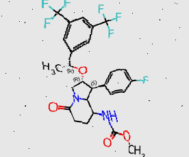 COC(=O)NC1CCC(=O)N2C[C@H](O[C@H](C)c3cc(C(F)(F)F)cc(C(F)(F)F)c3)[C@@H](c3ccc(F)cc3)C12